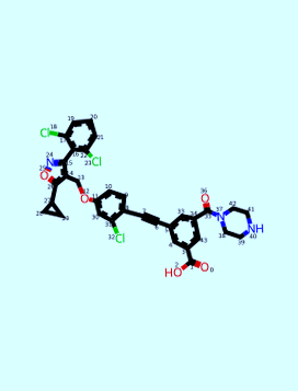 O=C(O)c1cc(C#Cc2ccc(OCc3c(-c4c(Cl)cccc4Cl)noc3C3CC3)cc2Cl)cc(C(=O)N2CCNCC2)c1